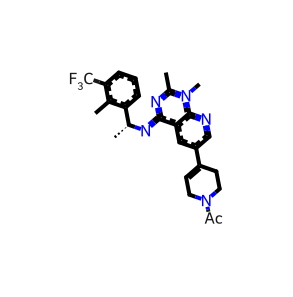 CC(=O)N1CC=C(c2cnc3c(c2)/c(=N/[C@H](C)c2cccc(C(F)(F)F)c2C)nc(C)n3C)CC1